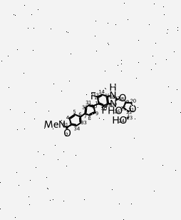 CNC(=O)c1ccc(-c2ccc(-c3c(F)cc4[nH]c(O[C@@H]5CO[C@H](CO)[C@H]5O)nc4c3F)cc2)cc1